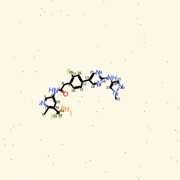 Cc1ncc(NC(=O)Cc2ccc(-c3cnc(Nc4cnn(C)c4)nc3)cc2F)cc1C(F)(F)P